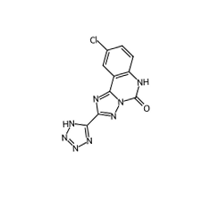 O=c1[nH]c2ccc(Cl)cc2c2nc(-c3nnn[nH]3)nn12